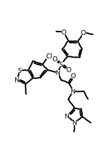 CCN(Cc1cc(C)n(C)n1)C(=O)CN(c1cc2c(C)nsc2cc1Cl)S(=O)(=O)c1ccc(OC)c(OC)c1